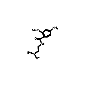 COc1cc(N)ccc1C(=O)NCCN(C(C)C)C(C)C